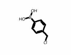 OB(O)c1ccc(CCl)cc1